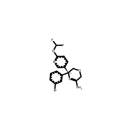 NC1=N[C@](c2ccc(OC(F)F)nc2)(c2cccc(Br)c2)COC1